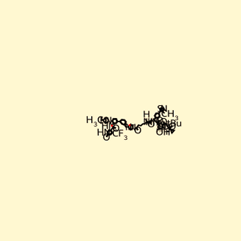 Cc1ncsc1-c1ccc([C@H](CC(=O)NCCCCC(=O)N2CCN(Cc3cccc(-c4ccc(N5CCN(C)CC5)c(NC(=O)c5c[nH]c(=O)cc5C(F)(F)F)c4)c3)CC2)NC(=O)[C@@H]2C[C@@H](O)CN2C(=O)[C@@H](NC(=O)C2(F)CC2)C(C)(C)C)cc1